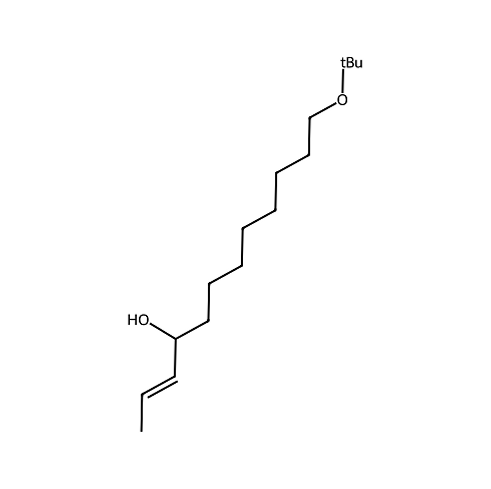 CC=CC(O)CCCCCCCCOC(C)(C)C